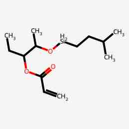 C=CC(=O)OC(CC)C(C)O[SiH2]CCC(C)C